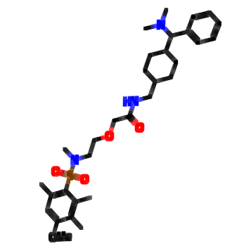 COc1cc(C)c(S(=O)(=O)N(C)CCOCC(=O)NCC2CCC(C(c3ccccc3)N(C)C)CC2)c(C)c1C